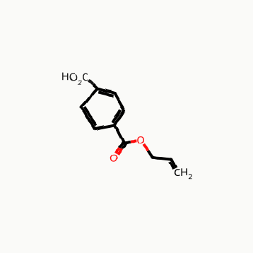 C=CCOC(=O)c1ccc(C(=O)O)cc1